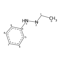 CC[N]Nc1ccccc1